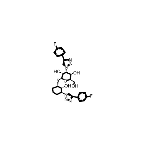 OC[C@H]1O[C@@H](S[C@@H]2CCC[C@H](n3cc(-c4ccc(F)cc4)nn3)[C@H]2O)[C@H](O)[C@@H](n2cc(-c3ccc(F)cc3)nn2)[C@H]1O